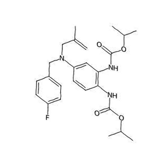 C=C(C)CN(Cc1ccc(F)cc1)c1ccc(NC(=O)OC(C)C)c(NC(=O)OC(C)C)c1